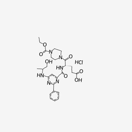 CCOC(=O)N1CCN(C(=O)[C@H](CCC(=O)O)NC(=O)c2cc(NC(C)CO)nc(-c3ccccc3)n2)CC1.Cl